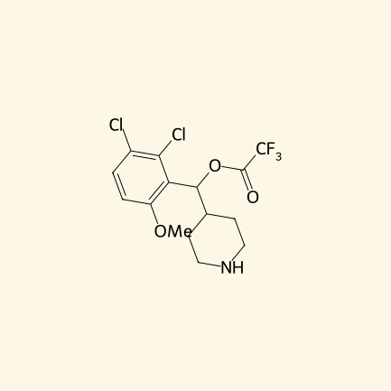 COc1ccc(Cl)c(Cl)c1C(OC(=O)C(F)(F)F)C1CCNCC1